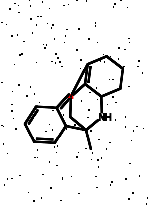 CC12CCC3=C(C=C4C=CC=CC41)C(CCC3)N2